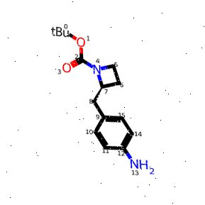 CC(C)(C)OC(=O)N1CC[C@H]1Cc1ccc(N)cc1